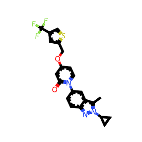 Cc1c2cc(-n3ccc(OCc4cc(C(F)(F)F)cs4)cc3=O)ccc2nn1C1CC1